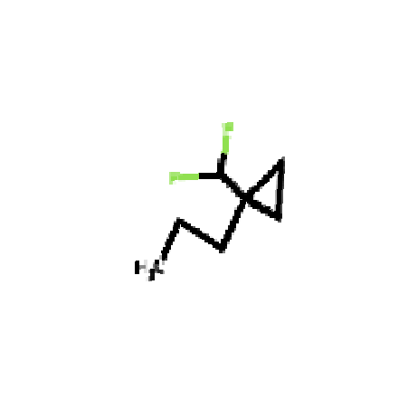 CCCC1(C(F)F)CC1